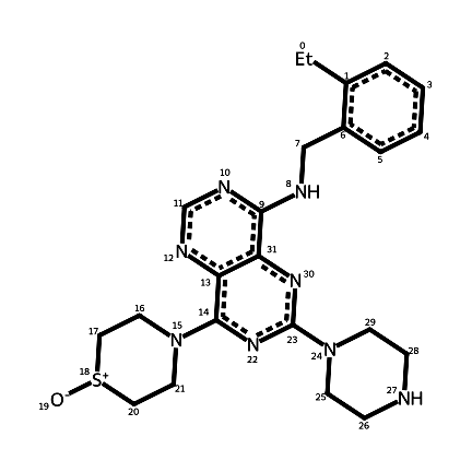 CCc1ccccc1CNc1ncnc2c(N3CC[S+]([O-])CC3)nc(N3CCNCC3)nc12